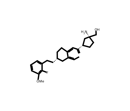 C=C(/C=C1/CC[C@@H](CCc2cccc(OC)c2F)C/C1=C/C)[C@H]1CC[C@](N)(CO)C1